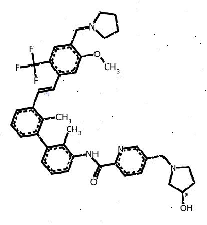 COc1cc(/C=C/c2cccc(-c3cccc(NC(=O)c4ccc(CN5CC[C@@H](O)C5)cn4)c3C)c2C)c(C(F)(F)F)cc1CN1CCCC1